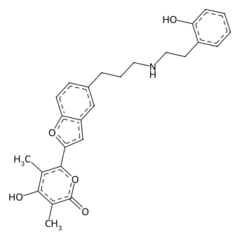 Cc1c(-c2cc3cc(CCCNCCc4ccccc4O)ccc3o2)oc(=O)c(C)c1O